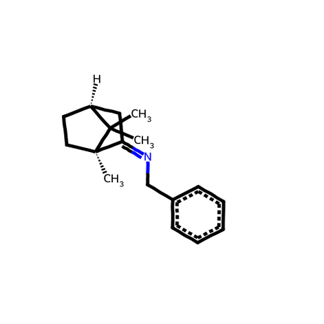 CC1(C)[C@H]2CC[C@]1(C)C(=NCc1ccccc1)C2